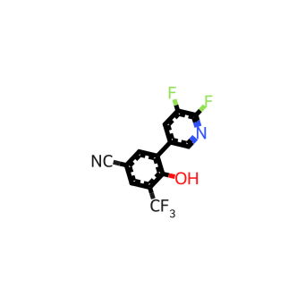 N#Cc1cc(-c2cnc(F)c(F)c2)c(O)c(C(F)(F)F)c1